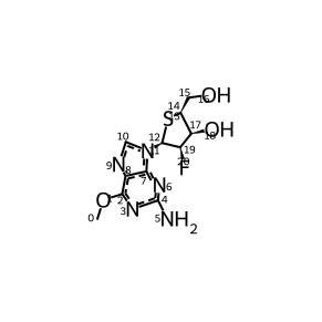 COc1nc(N)nc2c1ncn2[C@H]1S[C@@H](CO)[C@@H](O)[C@H]1F